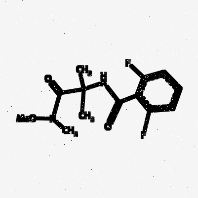 CON(C)C(=O)C(C)(C)NC(=O)c1c(F)cccc1F